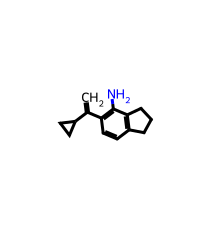 C=C(c1ccc2c(c1N)CCC2)C1CC1